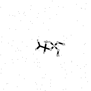 CCCCCCCC[Si](OCC)(OCC)OC(F)(F)C(F)F